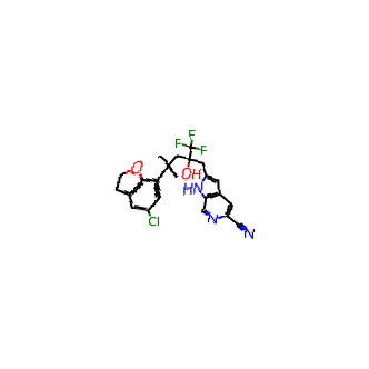 CC(C)(CC(O)(Cc1cc2cc(C#N)ncc2[nH]1)C(F)(F)F)c1cc(Cl)cc2c1OCC2